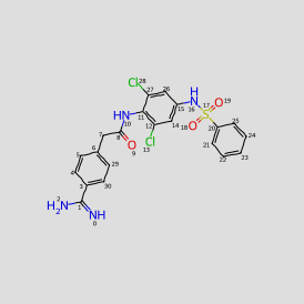 N=C(N)c1ccc(CC(=O)Nc2c(Cl)cc(NS(=O)(=O)c3ccccc3)cc2Cl)cc1